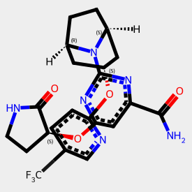 NC(=O)c1cc(O[C@H]2CCNC2=O)nc(N2[C@@H]3CC[C@H]2C[C@H](Oc2ccc(C(F)(F)F)cn2)C3)n1